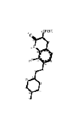 CCCCCC1Cc2ccc(CCC3CCC(C)CC3)c(F)c2OC1=O